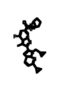 Cc1c(-c2cc3ccc(C4CC4)nc3n2CC2CC2)nn2cc(C(=O)N3CC4CCC3[C@@H]4N)cc(F)c12